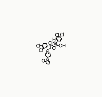 CC(CCN1CCC(N2CCCC2=O)CC1)(C(=O)NC(CO)c1ccc(Cl)c(Cl)c1)c1ccc(Cl)c(Cl)c1